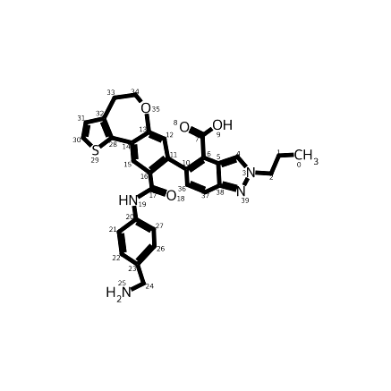 CCCn1cc2c(C(=O)O)c(-c3cc4c(cc3C(=O)Nc3ccc(CN)cc3)-c3sccc3CCO4)ccc2n1